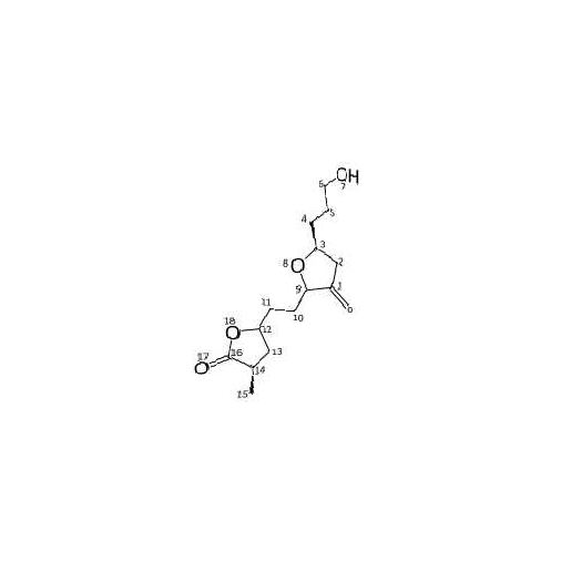 C=C1C[C@H](CCCO)OC1CCC1C[C@@H](C)C(=O)O1